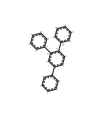 [c]1cc(-c2ccccc2)cc(-c2ccccc2)c1-c1ccccc1